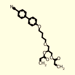 C=CC(=O)OCC(COCCCCOc1ccc(-c2ccc(C#N)cc2)cc1)OC(=O)C=C